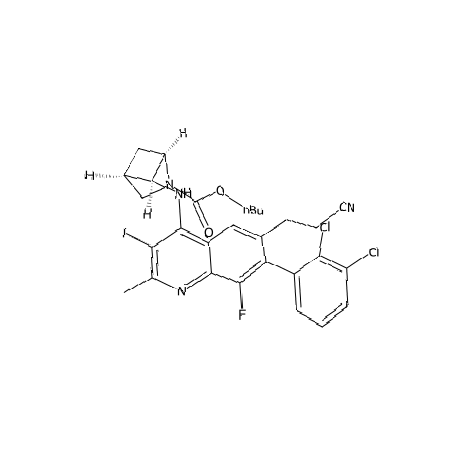 CCCCOC(=O)N1C[C@H]2C[C@@H]1[C@H]2Nc1c(I)c(C)nc2c(F)c(-c3cccc(Cl)c3Cl)c(CCC#N)cc12